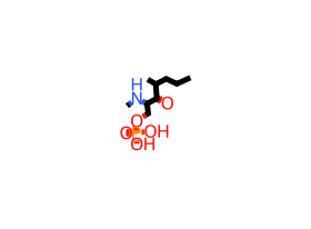 CCCC(C)C(=O)C(COP(=O)(O)O)NC